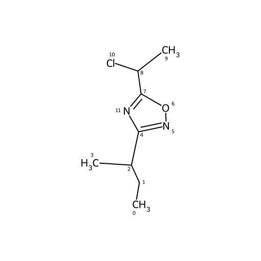 CCC(C)c1noc(C(C)Cl)n1